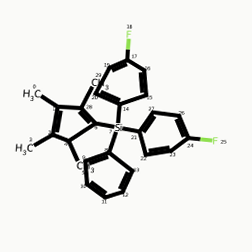 CC1=C(C)C(C)C([Si](c2ccccc2)(c2ccc(F)cc2)c2ccc(F)cc2)=C1C